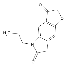 CCCN1C(=O)Cc2cc3c(cc21)C(=O)CO3